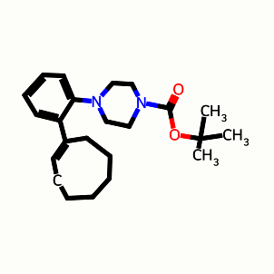 CC(C)(C)OC(=O)N1CCN(c2ccccc2/C2=C/CCCCCC2)CC1